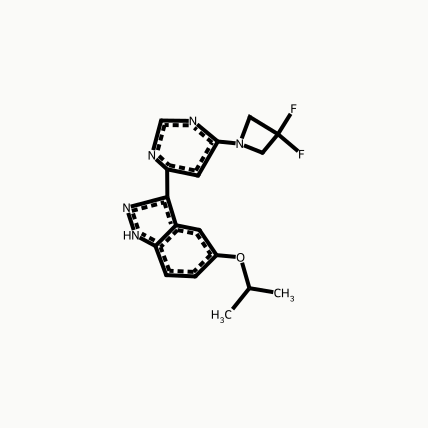 CC(C)Oc1ccc2[nH]nc(-c3cc(N4CC(F)(F)C4)ncn3)c2c1